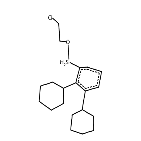 ClCCO[SiH2]c1cccc(C2CCCCC2)c1C1CCCCC1